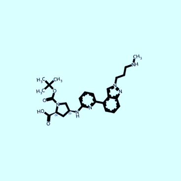 CNCCCn1cc2c(-c3cccc(N[C@H]4C[C@@H](C(=O)O)N(C(=O)OC(C)(C)C)C4)n3)cccc2n1